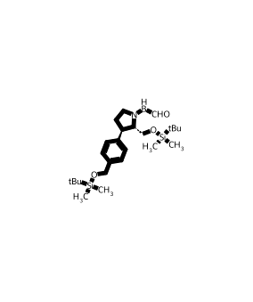 CC(C)(C)[Si](C)(C)OCc1ccc([C@H]2CCN(BC=O)[C@@H]2CO[Si](C)(C)C(C)(C)C)cc1